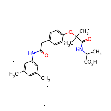 Cc1cc(C)cc(NC(=O)Cc2ccc(OC(C)(C)C(=O)NC(C)C(=O)O)cc2)c1